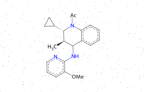 COc1cccnc1NC1c2ccccc2N(C(C)=O)[C@@H](C2CC2)[C@@H]1C